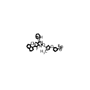 CN1CC(Oc2cccc(S(=O)(=O)F)c2)C[C@H]1COc1nc(N2CC3CCC(C2)N3)c2cnc(-c3cccc4cccc(Cl)c34)c(F)c2n1